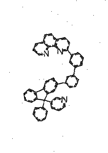 c1ccc(C2(c3cccnc3)c3ccccc3-c3ccc(-c4cccc(-c5cccc(-c6ccc7ccc8cccnc8c7n6)c5)c4)cc32)cc1